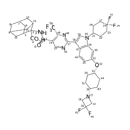 O=C(NC1(C(=O)O)C2CC3CC(C2)CC1C3)c1cnc(-c2cn(C3CCC(F)(F)CC3)c3cc(O[C@H]4CC[C@@H](N5CC(F)(F)C5)CC4)ccc23)nc1C(F)(F)F